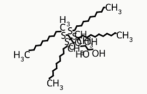 CCCCCCCCCCC(C)SC(SC(C)CCCCCCCCCC)C(SC(C)CCCCCCCCCC)(SC(C)CCCCCCCCCC)C(=O)OC[C@H](O)[C@H](O)CO